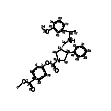 COC(=O)c1ccc(OC(=O)N2C[C@H](CN[C@H](C)c3cccc(OC)c3)[C@@H](c3ccccc3)C2)cc1